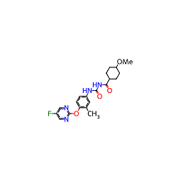 COC1CCC(C(=O)NC(=O)Nc2ccc(Oc3ncc(F)cn3)c(C)c2)CC1